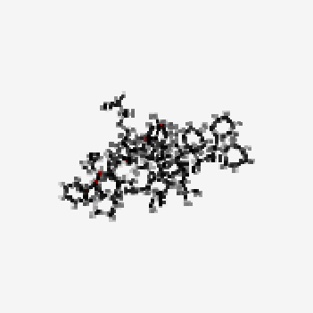 CC(=O)NCSC[C@H](NC(=O)OCC1c2ccccc2-c2ccccc21)C(=O)N[C@H](C(=O)N[C@@H](CC(=O)NC(c1ccccc1)(c1ccccc1)c1ccccc1)C(=O)N[C@H](C(=O)N[C@@H](C)C(=O)N[C@@H](CSC(c1ccccc1)(c1ccccc1)c1ccccc1)C(=O)N[C@H](C(=O)O)[C@@H](C)O)C(C)C)C(C)C